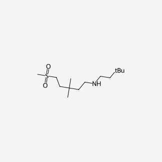 CC(C)(C)CCNCCC(C)(C)CCS(C)(=O)=O